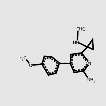 Nc1cc(-c2ccc(OC(F)(F)F)cc2)cc(C2(NC=O)CC2)n1